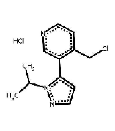 CC(C)n1nccc1-c1cnccc1CCl.Cl